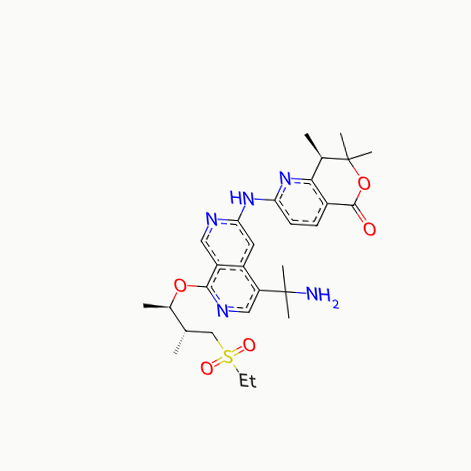 CCS(=O)(=O)C[C@H](C)[C@@H](C)Oc1ncc(C(C)(C)N)c2cc(Nc3ccc4c(n3)[C@@H](C)C(C)(C)OC4=O)ncc12